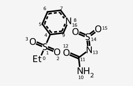 CCS(=O)(=O)c1cccnc1.NC(=O)N=S(=O)=O